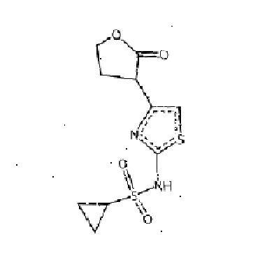 O=C1OCCC1c1csc(NS(=O)(=O)C2CC2)n1